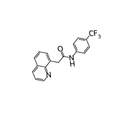 O=C(Cc1cccc2cccnc12)Nc1ccc(C(F)(F)F)cc1